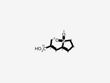 CC(=CC1=CCCS1(=O)=O)C(=O)O